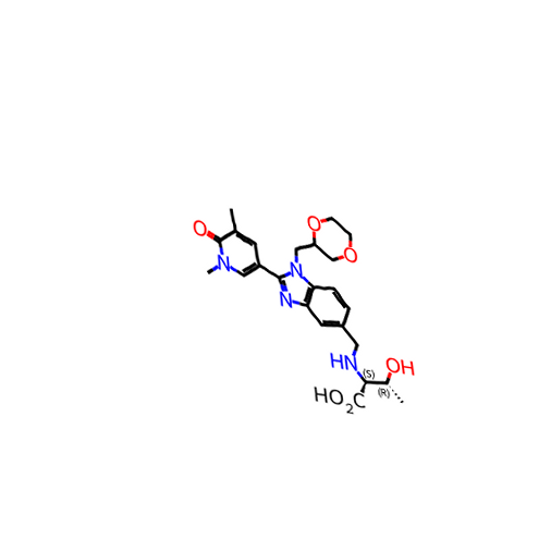 Cc1cc(-c2nc3cc(CN[C@H](C(=O)O)[C@@H](C)O)ccc3n2CC2COCCO2)cn(C)c1=O